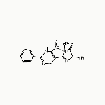 CCCC1N=C2C3=C(NC(c4ccccc4)=NC3)[N+](=O)[N+]2(CCC)C1=O